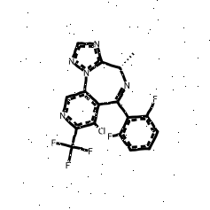 C[C@@H]1N=C(c2c(F)cccc2F)c2c(cnc(C(F)(F)F)c2Cl)-n2ncnc21